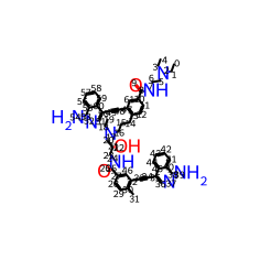 CCN(CC)CCNC(=O)c1ccc(CCCN(CC)CC(O)CNC(=O)c2ccc(C)c(C#Cc3cnc(N)c4ccccc34)c2)c(C#Cc2cnc(N)c3ccccc23)c1